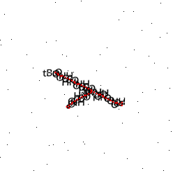 CC(C)(C)OC(=O)CCC(=O)NCCOCCOCCNC(=O)CCC(=O)NCCOCCOCCNC(=O)[C@H](CCCCNC(=O)CCC(=O)NCCOCCOCCNC(=O)OCc1ccccc1)NC(=O)CCC(=O)NCCOCCOCCNC(=O)OCc1ccccc1